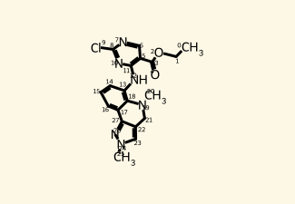 CCOC(=O)c1cnc(Cl)nc1Nc1cccc2c1N(C)Cc1cn(C)nc1-2